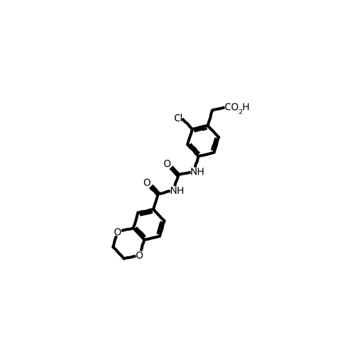 O=C(O)Cc1ccc(NC(=O)NC(=O)c2ccc3c(c2)OCCO3)cc1Cl